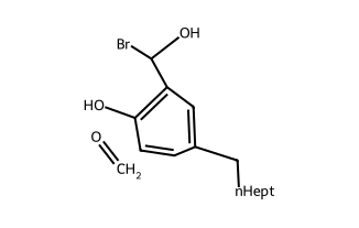 C=O.CCCCCCCCc1ccc(O)c(C(O)Br)c1